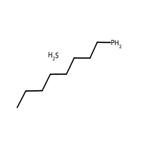 CCCCCCCCP.S